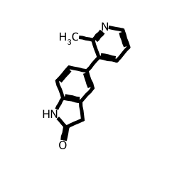 Cc1ncccc1-c1ccc2c(c1)CC(=O)N2